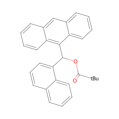 CC(C)(C)C(=O)OC(c1cccc2ccccc12)c1c2ccccc2cc2ccccc12